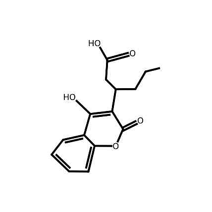 CCCC(CC(=O)O)c1c(O)c2ccccc2oc1=O